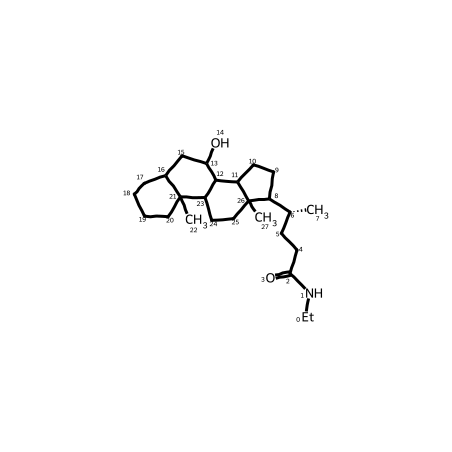 CCNC(=O)CC[C@@H](C)C1CCC2C3C(O)CC4CCCCC4(C)C3CCC21C